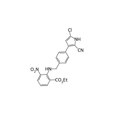 CCOC(=O)c1cccc([N+](=O)[O-])c1NCc1ccc(-c2cc(Cl)[nH]c2C#N)cc1